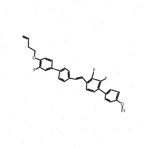 C=CCCOc1ccc(-c2ccc(/C=C/c3ccc(-c4ccc(OCC)cc4)c(F)c3F)cc2)cc1F